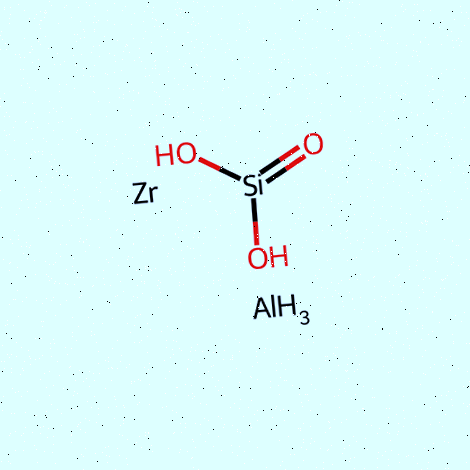 O=[Si](O)O.[AlH3].[Zr]